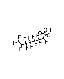 O=S(=O)(O)C(F)C(F)(F)C(F)(F)C(F)(F)C(F)(F)C(F)C(F)F